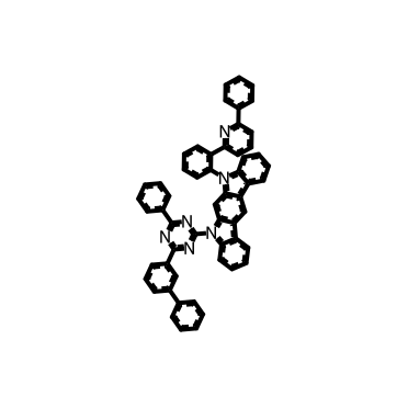 c1ccc(-c2cccc(-c3nc(-c4ccccc4)nc(-n4c5ccccc5c5cc6c7ccccc7n(-c7ccccc7-c7cccc(-c8ccccc8)n7)c6cc54)n3)c2)cc1